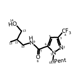 CCCCCn1nc(C(F)(F)F)cc1C(=O)NCC(C)CO